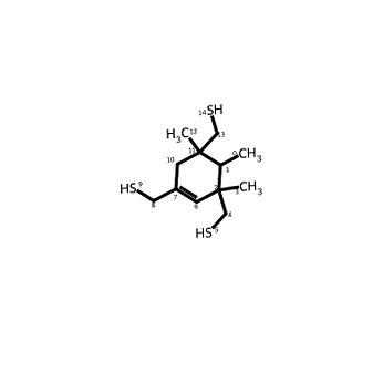 CC1C(C)(CS)C=C(CS)CC1(C)CS